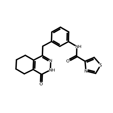 O=C(Nc1cccc(Cc2n[nH]c(=O)c3c2CCCC3)c1)c1cscn1